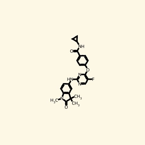 CN1C(=O)C(C)(C)c2cc(Nc3ncc(F)c(Oc4ccc(C(=O)NC5CC5)cc4)n3)ccc21